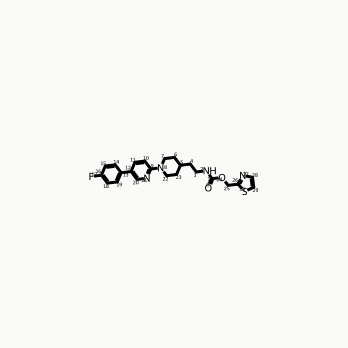 O=C(NCCC1CCN(c2ccc(-c3ccc(F)cc3)cn2)CC1)OCc1nccs1